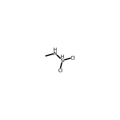 CN[SiH](Cl)Cl